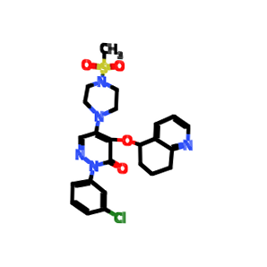 CS(=O)(=O)N1CCN(c2cnn(-c3cccc(Cl)c3)c(=O)c2OC2CCCc3ncccc32)CC1